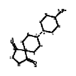 CC(C)[C@H]1CC[C@H](C2CCC3(CC2)C(=O)CCC3=O)CC1